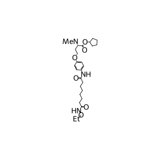 CCONC(=O)CCCCCCC(=O)Nc1ccc(OCC[C@H](NC)C(=O)OC2CCCC2)cc1